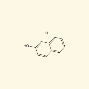 Oc1ccc2ccccc2c1.[KH]